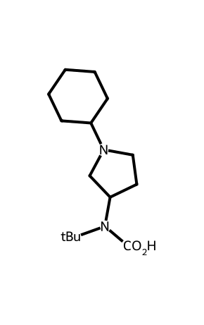 CC(C)(C)N(C(=O)O)C1CCN(C2CCCCC2)C1